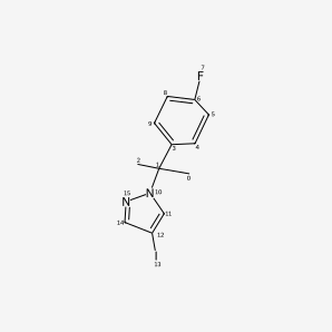 CC(C)(c1ccc(F)cc1)n1cc(I)cn1